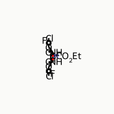 CCOC(=O)/C=C1\CC2(NC(=O)COc3ccc(Cl)c(F)c3)CCC1(NC(=O)COc1ccc(Cl)c(F)c1)CC2